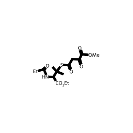 CCOC(=O)C(NC(=O)CC)C(C)(C)SC(=O)CC(=O)C(=O)OC